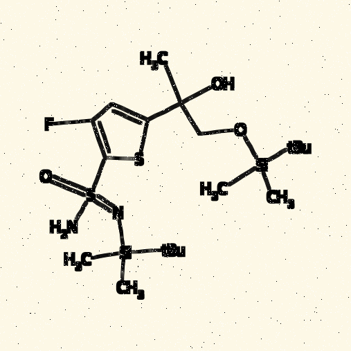 CC(O)(CO[Si](C)(C)C(C)(C)C)c1cc(F)c(S(N)(=O)=N[Si](C)(C)C(C)(C)C)s1